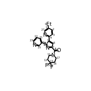 CCc1ccc(-c2cc(C(=O)N3CCC(F)(F)CC3)nn2-c2cccnc2)nc1